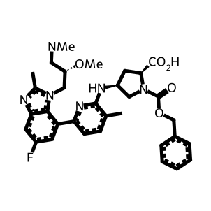 CNC[C@@H](Cn1c(C)nc2cc(F)cc(-c3ccc(C)c(N[C@H]4C[C@@H](C(=O)O)N(C(=O)OCc5ccccc5)C4)n3)c21)OC